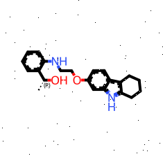 C[C@@H](O)c1ccccc1NCCOc1ccc2c3c([nH]c2c1)CCCC3